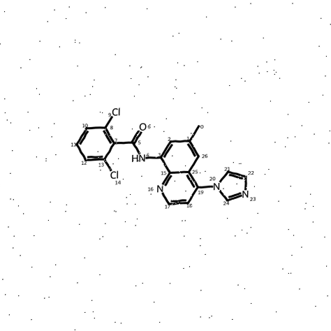 Cc1cc(NC(=O)c2c(Cl)cccc2Cl)c2nccc(-n3ccnc3)c2c1